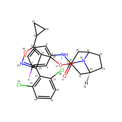 O=C(Nc1cccc(I)c1)N1C2CC[C@H]1CC(OCc1c(-c3c(Cl)cccc3Cl)noc1C1CC1)C2